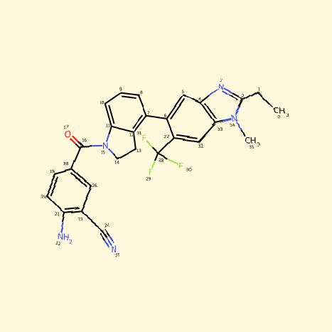 CCc1nc2cc(-c3cccc4c3CCN4C(=O)c3ccc(N)c(C#N)c3)c(C(F)(F)F)cc2n1C